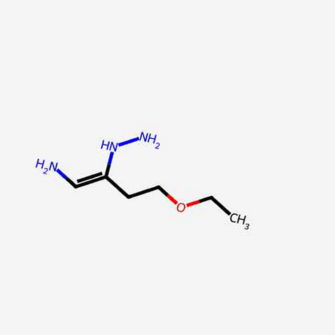 CCOCC/C(=C/N)NN